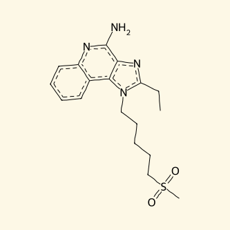 CCc1nc2c(N)nc3ccccc3c2n1CCCCCS(C)(=O)=O